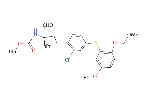 CCC[C@@](C=O)(CCc1ccc(Sc2cc(OCC)ccc2OCOC)cc1Cl)NC(=O)OC(C)(C)C